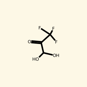 O=C(C(O)O)C(F)(F)F